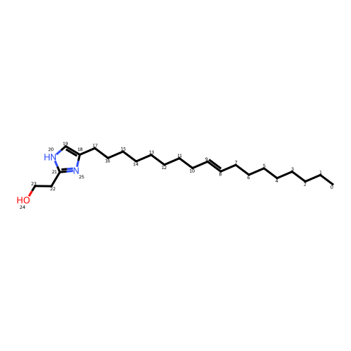 CCCCCCCCC=CCCCCCCCCc1c[nH]c(CCO)n1